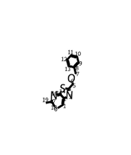 C/C=C1/N=C(COCc2ccccc2)S/C1=N/C(C)C